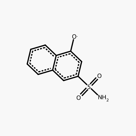 NS(=O)(=O)c1cc([O])c2ccccc2c1